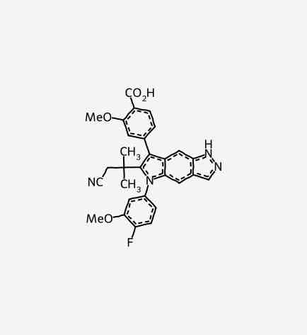 COc1cc(-n2c(C(C)(C)CC#N)c(-c3ccc(C(=O)O)c(OC)c3)c3cc4[nH]ncc4cc32)ccc1F